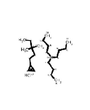 CCC(C)(C)CCC1C=C1.CCCCN(CCCC)CCCC.Cl